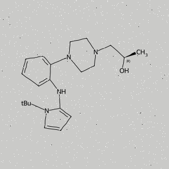 C[C@@H](O)CN1CCN(c2ccccc2Nc2cccn2C(C)(C)C)CC1